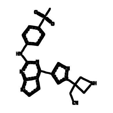 CS(=O)(=O)c1ccc(Nc2nc(-c3cnn(C4(CC#N)CNC4)c3)c3ccsc3n2)cc1